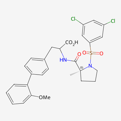 COc1ccccc1-c1ccc(CC(NC(=O)[C@]2(C)CCCN2S(=O)(=O)c2cc(Cl)cc(Cl)c2)C(=O)O)cc1